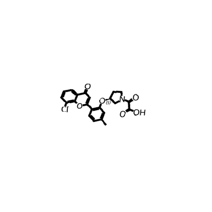 Cc1ccc(-c2cc(=O)c3cccc(Cl)c3o2)c(O[C@H]2CCN(C(=O)C(=O)O)C2)c1